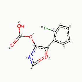 O=C(O)Oc1ncoc1-c1ccccc1F